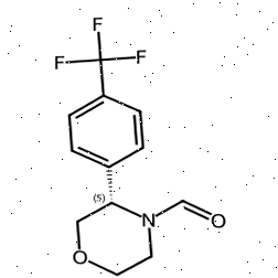 O=CN1CCOC[C@@H]1c1ccc(C(F)(F)F)cc1